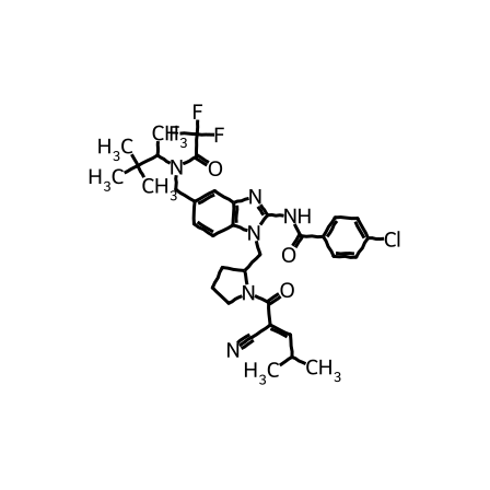 CC(C)C=C(C#N)C(=O)N1CCCC1Cn1c(NC(=O)c2ccc(Cl)cc2)nc2cc(CN(C(=O)C(F)(F)F)C(C)C(C)(C)C)ccc21